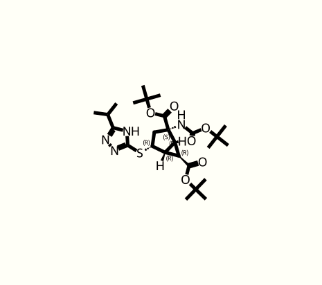 CC(C)c1nnc(S[C@@H]2C[C@@](NC(=O)OC(C)(C)C)(C(=O)OC(C)(C)C)[C@@H]3[C@@H](C(=O)OC(C)(C)C)[C@@H]32)[nH]1